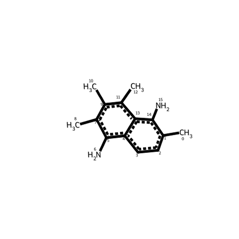 Cc1ccc2c(N)c(C)c(C)c(C)c2c1N